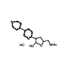 CC(=O)NCC1CN(c2ccc(-c3ccncc3)cn2)C(O)O1.Cl